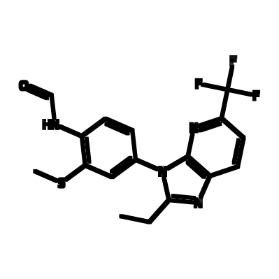 CCc1nc2ccc(C(F)(F)F)nc2n1-c1ccc(NC=O)c(SC)c1